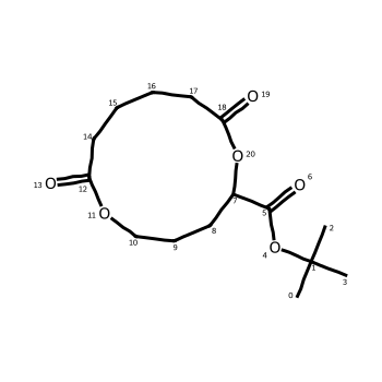 CC(C)(C)OC(=O)C1CCCOC(=O)CCCCC(=O)O1